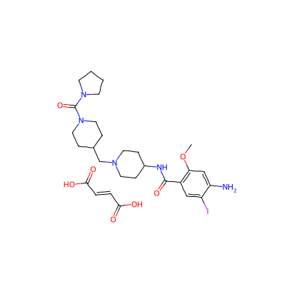 COc1cc(N)c(I)cc1C(=O)NC1CCN(CC2CCN(C(=O)N3CCCC3)CC2)CC1.O=C(O)C=CC(=O)O